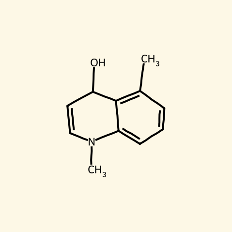 Cc1cccc2c1C(O)C=CN2C